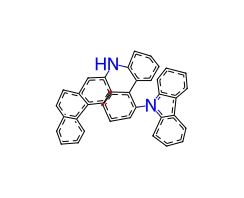 c1ccc(-c2ccccc2-n2c3ccccc3c3ccccc32)c(Nc2ccc3c(ccc4ccccc43)c2)c1